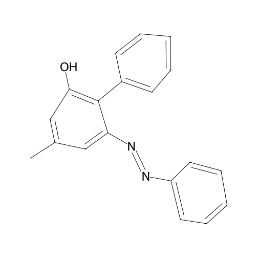 Cc1cc(O)c(-c2ccccc2)c(N=Nc2ccccc2)c1